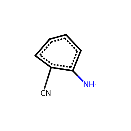 N#Cc1ccccc1[NH]